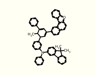 CC1C(c2ccccc2)=CC(c2ccc3ccc4oc5ccccc5c4c3c2)=CC1c1cccc(N(c2ccccc2)c2ccc3c(c2)-c2ccccc2C3(C)C)c1